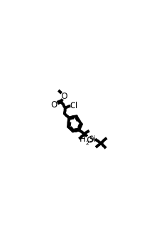 COC(=O)C(Cl)Cc1ccc(C(C)(C)O[SiH2]C(C)(C)C)cc1